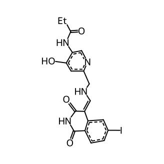 CCC(=O)Nc1cnc(CNC=C2C(=O)NC(=O)c3ccc(I)cc32)cc1O